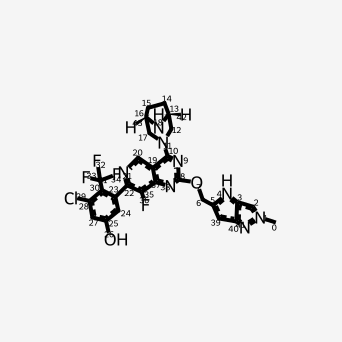 Cn1cc2[nH]c(COc3nc(N4C[C@H]5CC[C@@H](C4)N5)c4cnc(-c5cc(O)cc(Cl)c5C(F)(F)F)c(F)c4n3)cc2n1